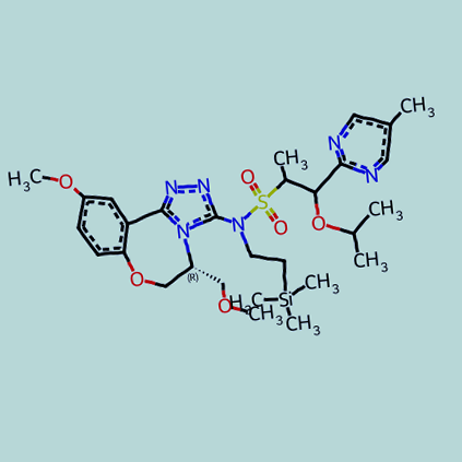 COC[C@@H]1COc2ccc(OC)cc2-c2nnc(N(CC[Si](C)(C)C)S(=O)(=O)C(C)C(OC(C)C)c3ncc(C)cn3)n21